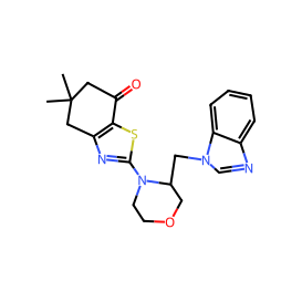 CC1(C)CC(=O)c2sc(N3CCOCC3Cn3cnc4ccccc43)nc2C1